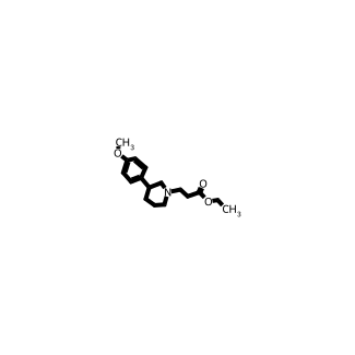 CCOC(=O)CCN1CCCC(c2ccc(OC)cc2)C1